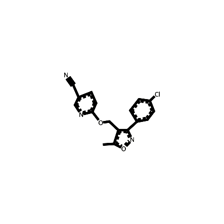 Cc1onc(-c2ccc(Cl)cc2)c1COc1ccc(C#N)cn1